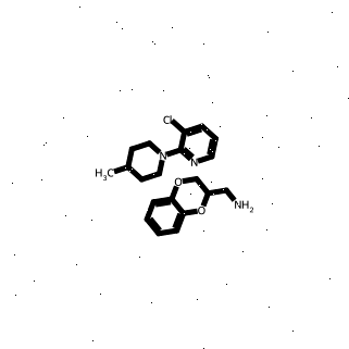 CC1CCN(c2ncccc2Cl)CC1.NCC1COc2ccccc2O1